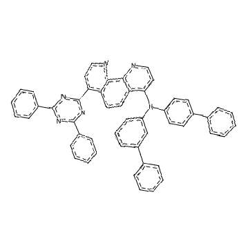 c1ccc(-c2ccc(N(c3cccc(-c4ccccc4)c3)c3ccnc4c3ccc3c(-c5nc(-c6ccccc6)nc(-c6ccccc6)n5)ccnc34)cc2)cc1